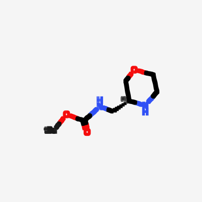 CC(C)(C)OC(=O)NC[C@@H]1COCCN1